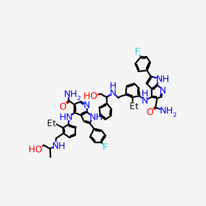 CCc1c(CNC(C)CO)cccc1Nc1c(C(N)=O)cnc2[nH]c(-c3ccc(F)cc3)cc12.CCc1c(CNC(CO)c2ccccc2)cccc1Nc1c(C(N)=O)cnc2[nH]c(-c3ccc(F)cc3)cc12